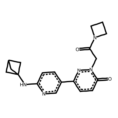 O=C(Cn1nc(-c2ccc(NC34CC(C3)C4)nc2)ccc1=O)N1CCC1